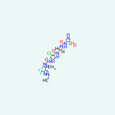 C#CCn1cc(-c2cnc(C(=O)Nc3ccc(C(=O)N[C@@H]4[C@@H]5CN(C(=O)N[C@@H]6CNC[C@H]6OC=O)C[C@@H]54)c(Cl)c3)n2C)c(C(F)(F)F)n1